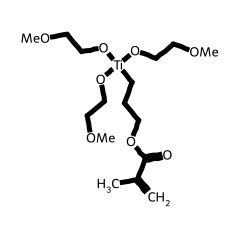 C=C(C)C(=O)OCC[CH2][Ti]([O]CCOC)([O]CCOC)[O]CCOC